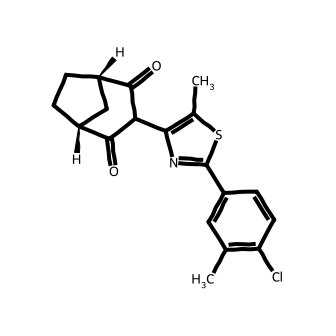 Cc1cc(-c2nc(C3C(=O)[C@@H]4CC[C@@H](C4)C3=O)c(C)s2)ccc1Cl